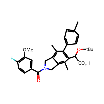 COc1cc(C(=O)N2Cc3c(C)c(-c4ccc(C)cc4)c(C(OC(C)(C)C)C(=O)O)c(C)c3C2)ccc1F